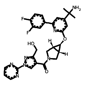 CC(C)(N)c1cc(O[C@H]2[C@@H]3CN(C(=O)c4cn(-c5ncccn5)nc4CO)C[C@@H]32)nc(-c2ccc(F)c(F)c2)c1